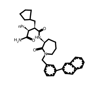 CCC[C@H](C(N)=O)[C@@H](CC1CCCC1)C(=O)N[C@H]1CCCCN(Cc2cccc(-c3ccc4ccccc4c3)c2)C1=O